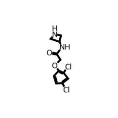 O=C(COc1ccc(Cl)cc1Cl)NC1CNC1